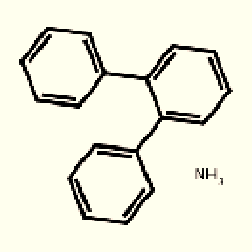 N.c1ccc(-c2ccccc2-c2ccccc2)cc1